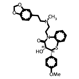 COc1ccc([C@H]2Sc3ccccc3N(CCN(C)CCc3ccc4c(c3)OCO4)C(=O)[C@H]2O)cc1